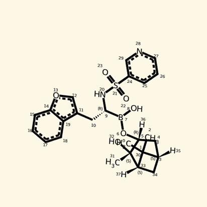 CC1(C)[C@@H]2C[C@@H](OB(O)[C@H](Cc3coc4ccccc34)NS(=O)(=O)c3cccnc3)[C@@](C)(O)[C@H]1C2